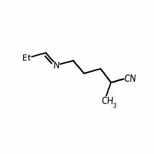 CC/C=N/CCCC(C)C#N